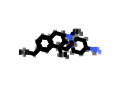 CCc1ccc2c(c1)[C@@]1(C)CCN(C)C(C2)C1N1CCC(N)CC1